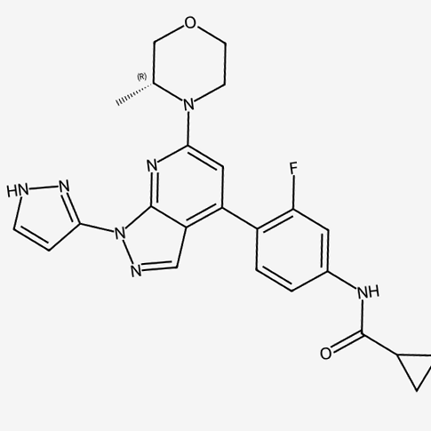 C[C@@H]1COCCN1c1cc(-c2ccc(NC(=O)C3CC3)cc2F)c2cnn(-c3cc[nH]n3)c2n1